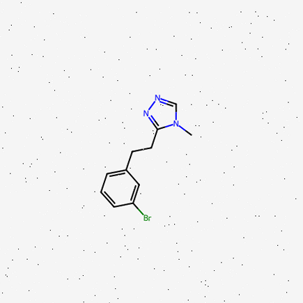 Cn1cnnc1CCc1cccc(Br)c1